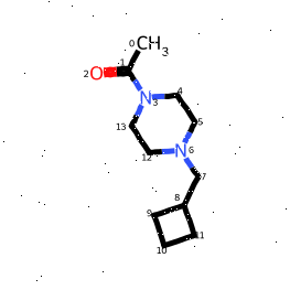 CC(=O)N1CCN(CC2CCC2)CC1